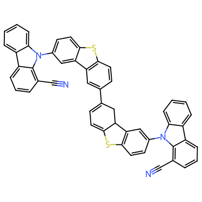 N#Cc1cccc2c3ccccc3n(-c3ccc4c(c3)C3CC(c5ccc6sc7ccc(-n8c9ccccc9c9cccc(C#N)c98)cc7c6c5)=CC=C3S4)c12